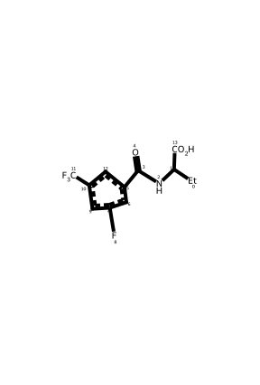 CCC(NC(=O)c1cc(F)cc(C(F)(F)F)c1)C(=O)O